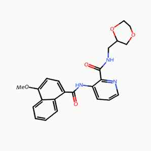 COc1ccc(C(=O)Nc2cccnc2C(=O)NCC2COCCO2)c2ccccc12